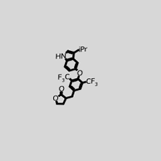 CC(C)c1c[nH]c2ccc(Oc3c(C(F)(F)F)cc(CC4CCOC4=O)cc3C(F)(F)F)cc12